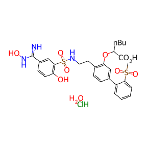 CCCCC(Oc1cc(-c2ccccc2S(C)(=O)=O)ccc1CCNS(=O)(=O)c1cc(C(=N)NO)ccc1O)C(=O)O.Cl.O